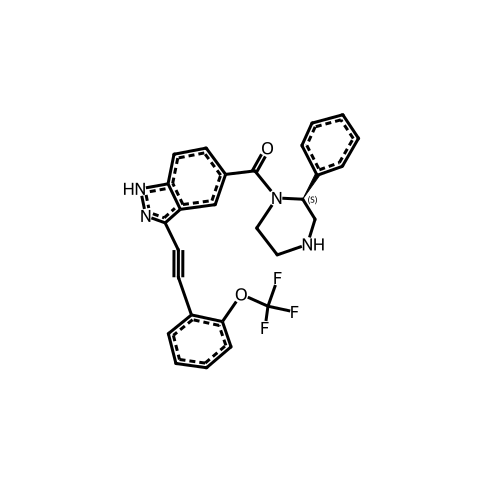 O=C(c1ccc2[nH]nc(C#Cc3ccccc3OC(F)(F)F)c2c1)N1CCNC[C@@H]1c1ccccc1